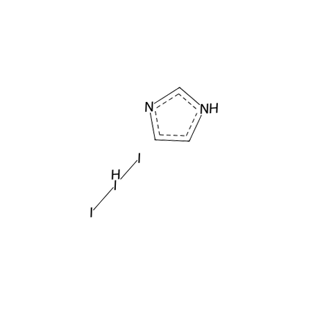 I[IH]I.c1c[nH]cn1